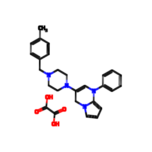 Cc1ccc(CN2CCN(C3=CN(c4ccccc4)c4cccn4C3)CC2)cc1.O=C(O)C(=O)O